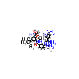 COc1c(NC(=O)c2ccc(C)c(N(N)/C=C(\N)c3ccc(N)nc3)c2)cc(C(C)(C)C)cc1NS(C)(=O)=O